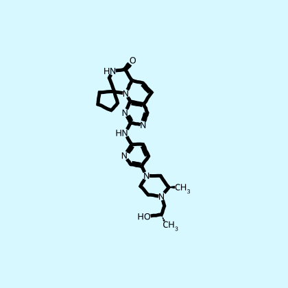 C[C@H](O)CN1CCN(c2ccc(Nc3ncc4c(n3)N3C(C=C4)C(=O)NCC34CCCC4)nc2)C[C@H]1C